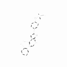 CCS(=O)(=O)Nc1ccc(-c2cc3c(NC(C)c4ccccc4)ncnc3[nH]2)cc1